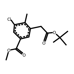 COC(=O)c1cc(Cl)c(C)c(CC(=O)OC(C)(C)C)c1